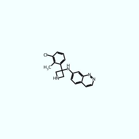 Cc1c(Cl)cccc1C1(Nc2ccc3ccnnc3c2)CNC1